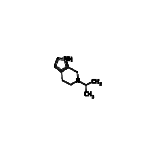 CC(C)N1CCc2cc[nH]c2C1